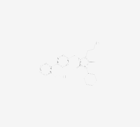 Cc1c(CCC(C)C)n(Cc2ccc(-c3ccccc3C(=O)O)cc2)c(=O)n1C1CCCCC1